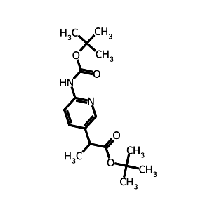 CC(C(=O)OC(C)(C)C)c1ccc(NC(=O)OC(C)(C)C)nc1